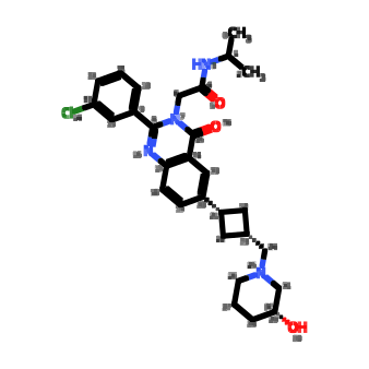 CC(C)NC(=O)Cn1c(-c2cccc(Cl)c2)nc2ccc([C@H]3C[C@@H](CN4CCC[C@@H](O)C4)C3)cc2c1=O